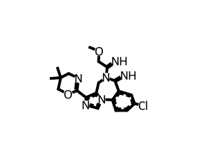 COCC(=N)N1Cc2c(C3=NCC(C)(C)CO3)ncn2-c2ccc(Cl)cc2C1=N